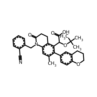 Cc1cc2c(c(C(OC(C)(C)C)C(=O)O)c1-c1ccc3c(c1)CCCO3)CCC(=O)N2Cc1ccccc1C#N